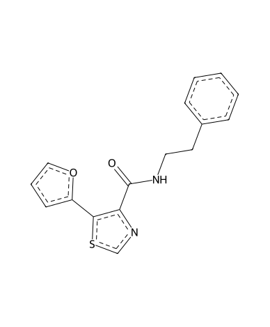 O=C(NCCc1ccccc1)c1ncsc1-c1ccco1